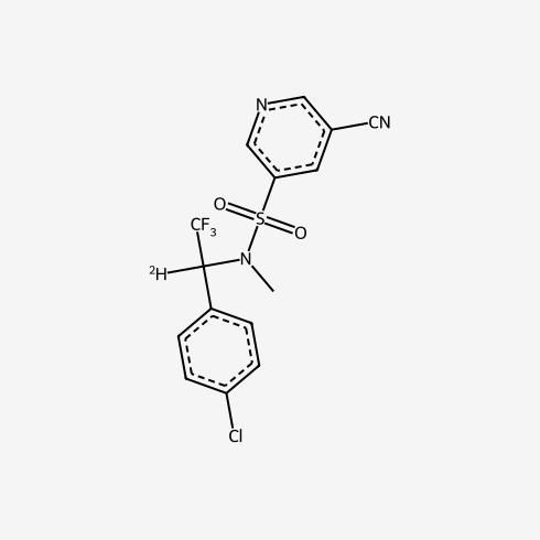 [2H]C(c1ccc(Cl)cc1)(N(C)S(=O)(=O)c1cncc(C#N)c1)C(F)(F)F